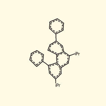 CC(C)c1cc(-c2ccccc2)c2c(c1)cc(C(C)C)c1cc(-c3ccccc3)ccc12